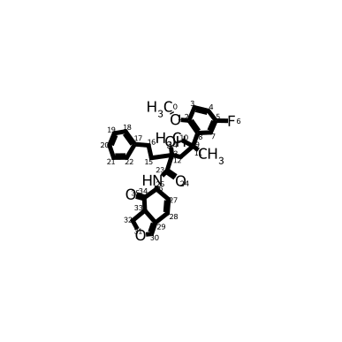 COc1ccc(F)cc1C(C)(C)CC(O)(CCc1ccccc1)C(=O)NC1C=CC2=COCC2C1=O